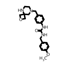 COc1ccc(CNC(=O)Nc2ccc(CN3CCNC4(COC4)C3)cc2)cc1